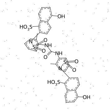 Cc1c2ccc(c1NC(=O)Nc1c3ccc(c1C)N(c1ccc4c(O)cccc4c1S(=O)(=O)O)S3(=O)=O)S(=O)(=O)N2c1ccc2c(O)cccc2c1S(=O)(=O)O